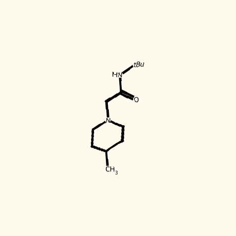 CC1CCN(CC(=O)NC(C)(C)C)CC1